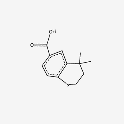 CC1(C)CCSc2ccc(C(=O)O)cc21